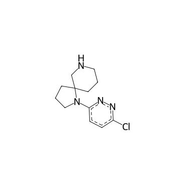 Clc1ccc(N2CCCC23CCCNC3)nn1